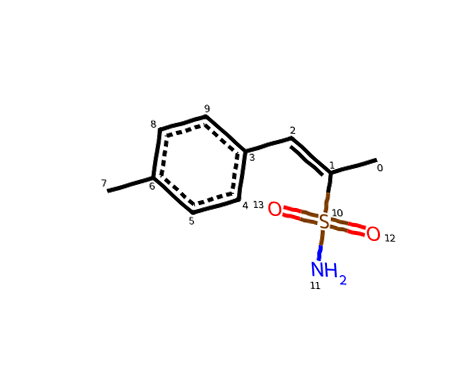 CC(=Cc1ccc(C)cc1)S(N)(=O)=O